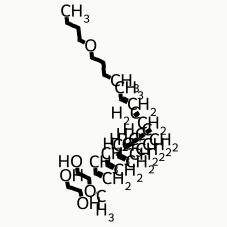 C=C.C=C.C=C.C=C.C=C.C=CC.C=CC.C=CC.C=CC.CCCCOCCCC.COCCO.OCCO